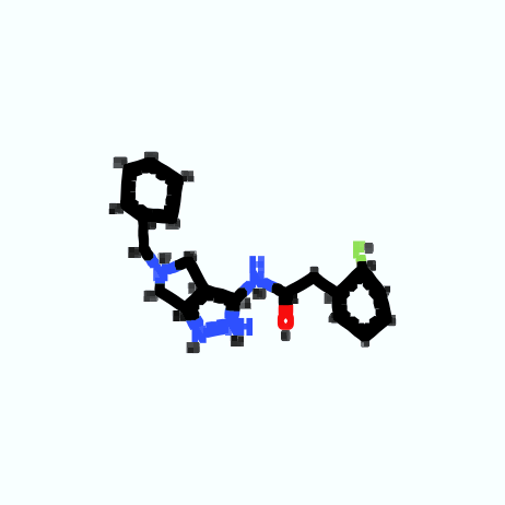 O=C(Cc1ccccc1F)Nc1[nH]nc2c1CN(Cc1ccccc1)C2